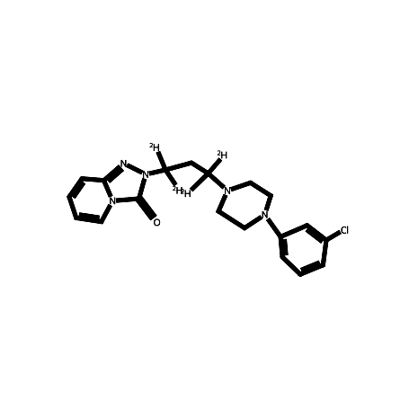 [2H]C([2H])(CC([2H])([2H])n1nc2ccccn2c1=O)N1CCN(c2cccc(Cl)c2)CC1